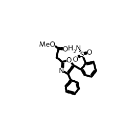 COC(=O)Cc1nc(-c2ccccc2)c(-c2ccccc2S(N)(=O)=O)o1